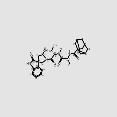 C[C@H](NC(=O)C12CC3CC(CC(C3)C1)C2)C(=O)N(C)[C@@H](CC(C)(C)C)C(=O)N1C[C@]2(C[C@H]1C#N)C(=O)Nc1ccccc12